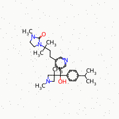 CC(C)c1ccc(C(O)(c2cncc(CCC(C)(C)N3CCN(C)C3=O)c2)C2(C)CN(C)C2)cc1